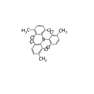 Cc1ccc(Cl)c(B(c2c(Cl)ccc(C)c2Cl)c2c(Cl)ccc(C)c2Cl)c1Cl